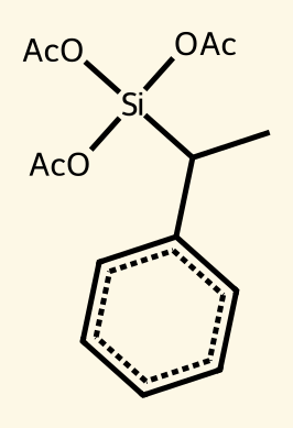 CC(=O)O[Si](OC(C)=O)(OC(C)=O)C(C)c1ccccc1